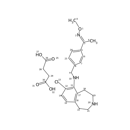 CON=C(C)c1ccc(CNc2c(Cl)ccc3c2CCNCC3)cc1.O=C(O)CCC(=O)O